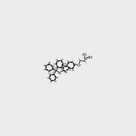 CCN(CC)CCOc1ccc2nc(SC(c3ccccc3)(c3ccccc3)c3ccccc3)sc2c1